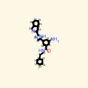 Nc1cc(C(=O)NCCc2ccc(F)cc2)cc(-c2cnc(-c3cc4ccccc4cn3)[nH]2)c1